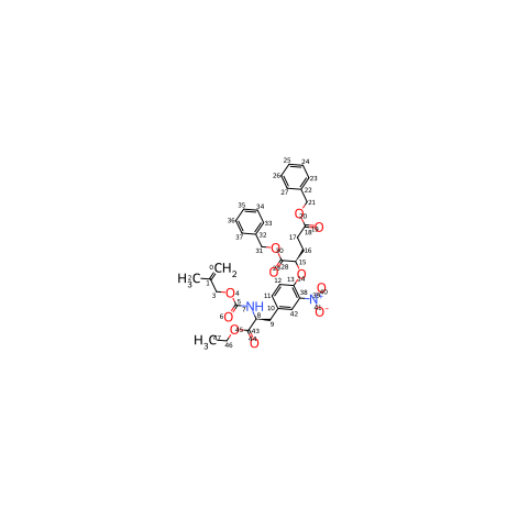 C=C(C)COC(=O)N[C@@H](Cc1ccc(O[C@H](CCC(=O)OCc2ccccc2)C(=O)OCc2ccccc2)c([N+](=O)[O-])c1)C(=O)OCC